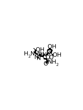 C[C@@H](O)[C@H](N)c1nnc([C@H](CCC(N)=O)NC(=O)N2C[C@H](O)C[C@H]2C(=O)O)o1